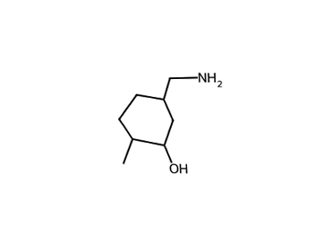 CC1CCC(CN)CC1O